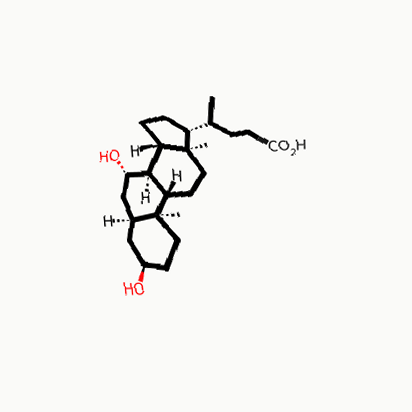 CC(CCC(=O)O)[C@H]1CC[C@H]2[C@@H]3[C@@H](O)C[C@@H]4C[C@H](O)CC[C@]4(C)[C@H]3CC[C@]12C